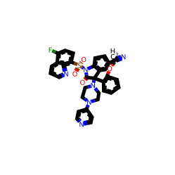 CCOc1ccccc1C1(N2CCN(c3ccncc3)CC2)C(=O)N(S(=O)(=O)c2ccc(F)c3cccnc23)c2ccc(C#N)cc21